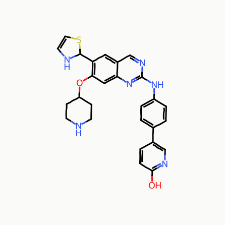 Oc1ccc(-c2ccc(Nc3ncc4cc(C5NC=CS5)c(OC5CCNCC5)cc4n3)cc2)cn1